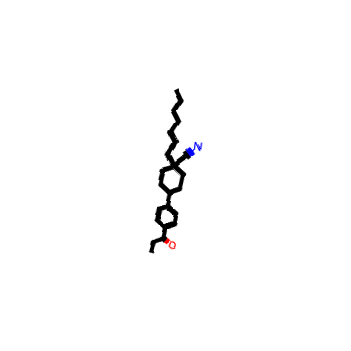 CCCCCCCC1(C#N)CCC(c2ccc(C(=O)CC)cc2)CC1